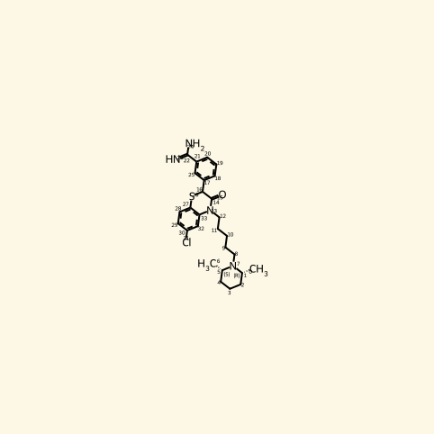 C[C@@H]1CCC[C@H](C)N1CCCCCN1C(=O)C(c2cccc(C(=N)N)c2)Sc2ccc(Cl)cc21